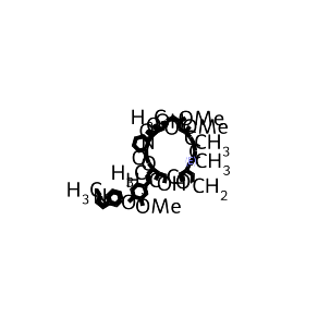 C=CCC1/C=C(\C)CC(C)CC(OC)C2OC(O)(C(=O)C(=O)N3CCCCC3C(=O)OC(C(C)=CC3CCC(Oc4ccc5c(ccn5C)c4)C(OC)C3)C(C)C(O)CC1=O)C(C)CC2OC